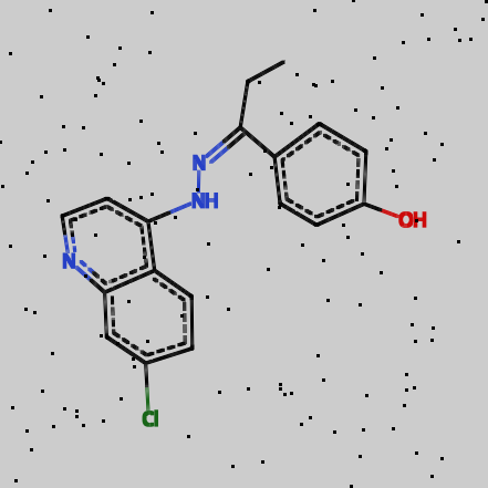 CCC(=NNc1ccnc2cc(Cl)ccc12)c1ccc(O)cc1